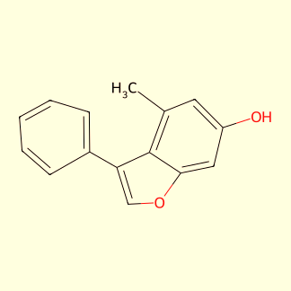 Cc1cc(O)cc2occ(-c3ccccc3)c12